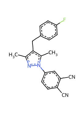 Cc1nn(-c2ccc(C#N)c(C#N)c2)c(C)c1Cc1ccc(F)cc1